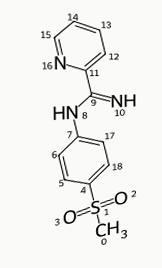 CS(=O)(=O)c1ccc(NC(=N)c2ccccn2)cc1